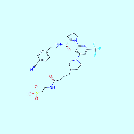 N#Cc1ccc(CCNC(=O)[C@@H]2CCCN2c2cc(N3CCC(CCCC(=O)NCCS(=O)(=O)O)CC3)cc(C(F)(F)F)n2)cc1